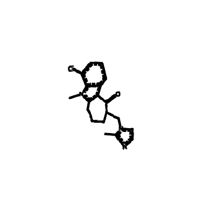 Cc1nccn1CC1CCCc2c(c3cccc(Cl)c3n2C)C1=O